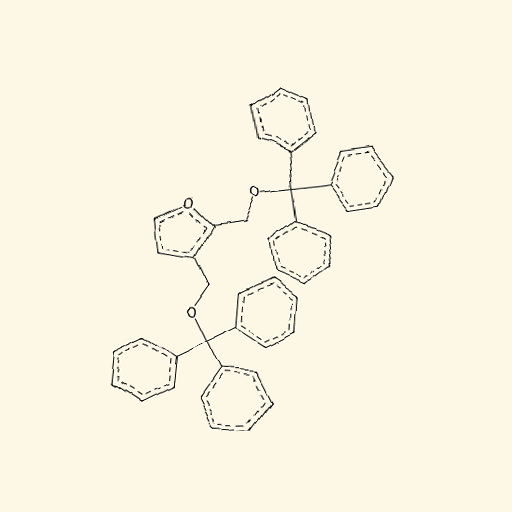 c1ccc(C(OCc2ccoc2COC(c2ccccc2)(c2ccccc2)c2ccccc2)(c2ccccc2)c2ccccc2)cc1